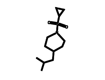 CC(C)CC1CCN(S(=O)(=O)C2CC2)CC1